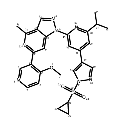 COc1ccncc1-c1cc2c(cnn2-c2cc(-c3cnn(S(=O)(=O)C4CC4)c3)cc(C(C)C)n2)c(C)n1